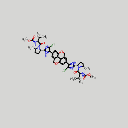 COC(=O)N[C@H](C(=O)N1[C@H](C)CC[C@H]1c1nc(Cl)c(-c2cc3c4c(c2)OCc2cc(-c5[nH]c([C@@H]6CC[C@@H](C)N6C(=O)[C@@H](NC(=O)OC)C(C)C)nc5Cl)cc(c2-4)OC3)[nH]1)C(C)C